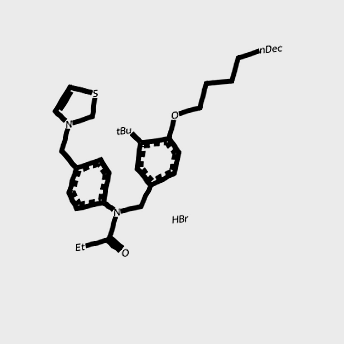 Br.CCCCCCCCCCCCCCOc1ccc(CN(C(=O)CC)c2ccc(CN3C=CSC3)cc2)cc1C(C)(C)C